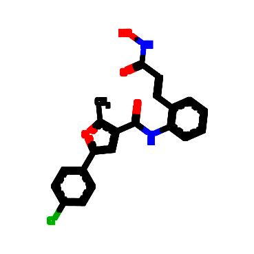 Cc1oc(-c2ccc(Cl)cc2)cc1C(=O)Nc1ccccc1/C=C/C(=O)NO